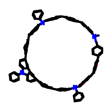 CN1c2ccc(cc2)-c2ccc(cc2)-c2ccc(cc2)N(c2ccccc2)c2ccc(cc2)-c2ccc(cc2)-c2ccc3c(c2)c2cc(ccc2n3-c2ccccc2)-c2ccc(cc2)-c2ccc(cc2)N(c2ccccc2)c2ccc(cc2)-c2ccc(cc2)-c2ccc1cc2